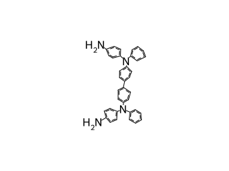 Nc1ccc(N(c2ccccc2)c2ccc(-c3ccc(N(c4ccccc4)c4ccc(N)cc4)cc3)cc2)cc1